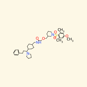 COc1cc(C)c(S(=O)(=O)N2CCCC(COCC(=O)NCC3CCC(C(CCc4ccccc4)N4CCCC4)CC3)C2)c(C)c1